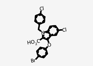 O=C(O)c1c(Oc2ccc(Br)cc2)c2cc(Cl)ccc2n1Cc1ccc(Cl)cc1